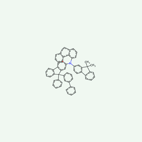 CC1(C)c2ccccc2-c2ccc(N(c3ccc4c(c3)C(c3ccccc3)(c3cccc(-c5ccccc5)c3)c3ccccc3-4)c3cccc4ccc5ccccc5c34)cc21